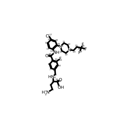 NCCC(NCc1ccc(C(=O)Nc2ccc(Cl)cc2N2CCN(CCC(F)(F)F)CC2)c(F)c1)C(=O)O